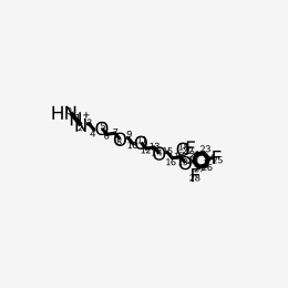 N=[N+]=NCCOCCOCCOCCOCCC(=O)Oc1c(F)cc(F)cc1F